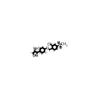 CS(=O)(=O)c1ccc(COc2ccc(-c3nocc3N)cc2)c(Cl)c1